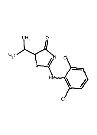 CC(C)C1SC(Nc2c(Cl)cccc2Cl)=NC1=O